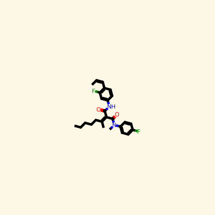 C/C=C\c1ccc(NC(=O)/C(C(=O)N(C)c2ccc(F)cc2)=C(/C)CCCCC)cc1F